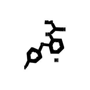 CSC(=N)Nc1ccccc1Oc1ccc(F)cc1.I